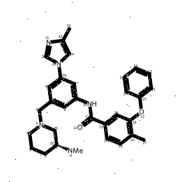 CN[C@H]1CCCN(Cc2cc(NC(=O)c3ccc(C)c(Oc4ccccc4)c3)cc(-n3cnc(C)c3)c2)C1